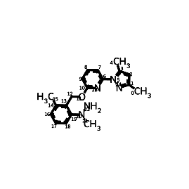 Cc1cc(C)n(-c2cccc(OCc3c(C)cccc3N(C)N)n2)n1